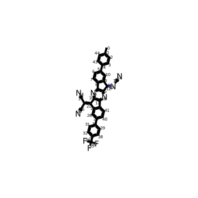 Cc1ccc(-c2ccc3c(c2)/C(=N\C#N)c2nc4c(nc2-3)C(=C(C#N)C#N)c2cc(-c3ccc(C(F)(F)F)cc3)ccc2-4)cc1